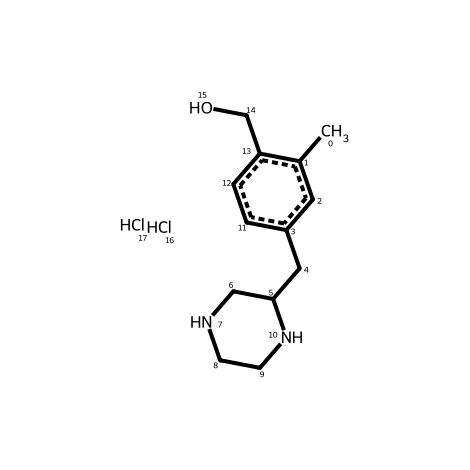 Cc1cc(CC2CNCCN2)ccc1CO.Cl.Cl